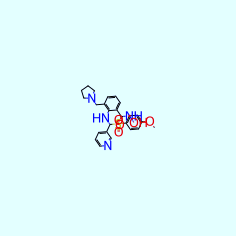 COc1ccc(S(=O)(=O)C(Nc2c(CN3CCCC3)cccc2C(=O)NO)c2cccnc2)cc1